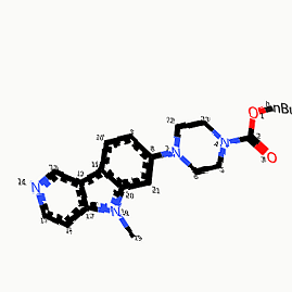 CCCCOC(=O)N1CCN(c2ccc3c4cnccc4n(C)c3c2)CC1